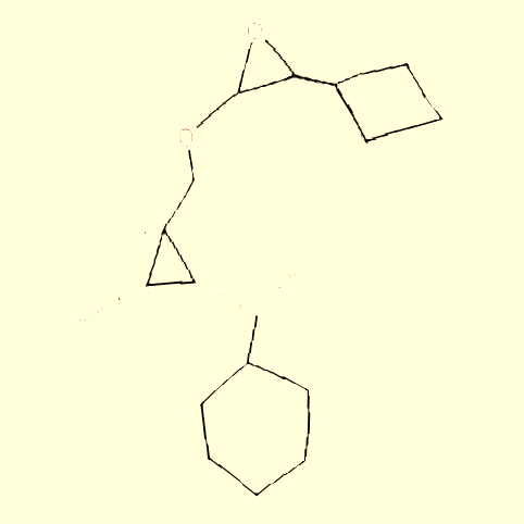 C[C@H](C1CCCCC1)[C@@H]1[C@H](C)[C@@]1(C)COC1OC1C1CCC1